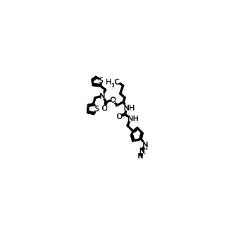 CCCCC(COC(=O)N(Cc1cccs1)Cc1cccs1)NC(=O)NCc1ccc(N=[N+]=[N-])cc1